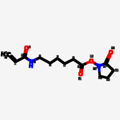 C=CC(=O)NCCCCCC(=O)ON1CCCC1=O